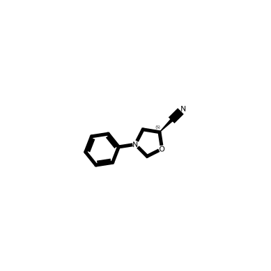 N#C[C@@H]1CN(c2ccccc2)CO1